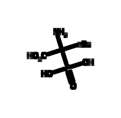 CCCCC(N)(C(=O)O)P(=O)(O)O